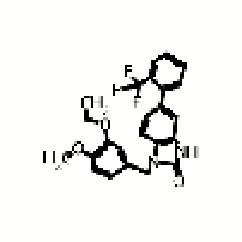 CCOc1cc(Cn2c(=O)[nH]c3cc(-c4ccccc4C(F)(F)F)ccc32)ccc1OC